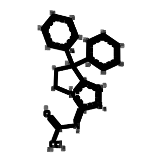 O=C(/N=c1/snc2n1CCC2(c1ccccc1)c1ccccc1)C(Cl)(Cl)Cl